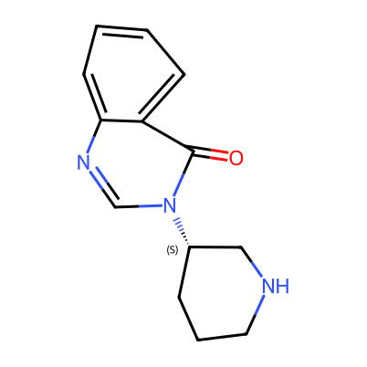 O=c1c2ccccc2ncn1[C@H]1CCCNC1